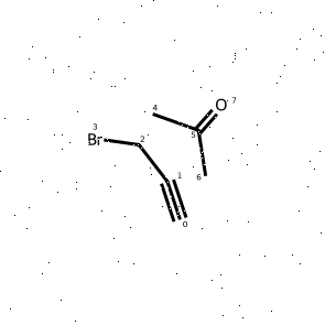 C#CCBr.CC(C)=O